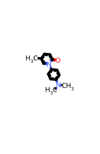 Cc1ccc(=O)n(-c2ccc(N(C)C)cc2)c1